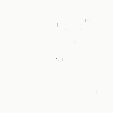 C=CCC(C(=O)NCc1cc(C#N)cc2ccccc12)C1(c2ccc(F)cc2)CCN(C(=O)OC(C)(C)C)CC1